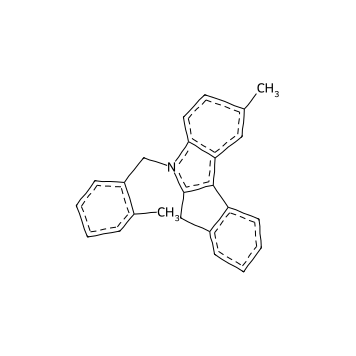 Cc1ccc2c(c1)c1c(n2Cc2ccccc2C)Cc2ccccc2-1